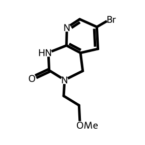 COCCN1Cc2cc(Br)cnc2NC1=O